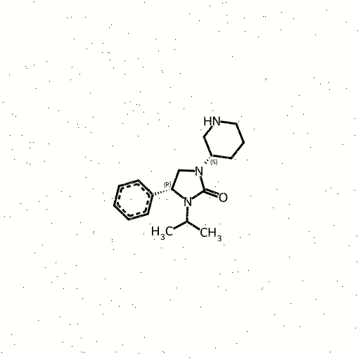 CC(C)N1C(=O)N([C@H]2CCCNC2)C[C@H]1c1ccccc1